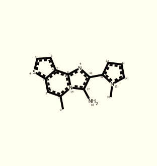 Cc1cc2sccc2c2nc(-c3cccn3C)c(N)n12